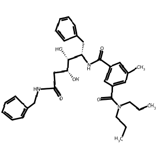 CCCN(CCC)C(=O)c1cc(C)cc(C(=O)N[C@@H](Cc2ccccc2)[C@@H](O)[C@H](O)CC(=O)NCc2ccccc2)c1